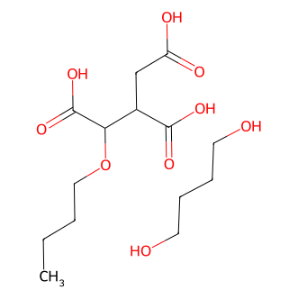 CCCCOC(C(=O)O)C(CC(=O)O)C(=O)O.OCCCCO